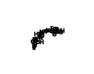 Cn1cc(-c2ccnc(N3CCn4c(cc5c4CC(C)(C)C5)C3=O)c2CO)cc(Nc2ccc(N3CCN(Cc4ccc5c(c4F)C(=O)N(C4CCC(=O)NC4=O)C5=O)CC3)cn2)c1=O